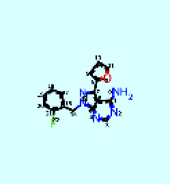 Nc1ncnc2c1c(-c1ccco1)nn2Cc1ccccc1F